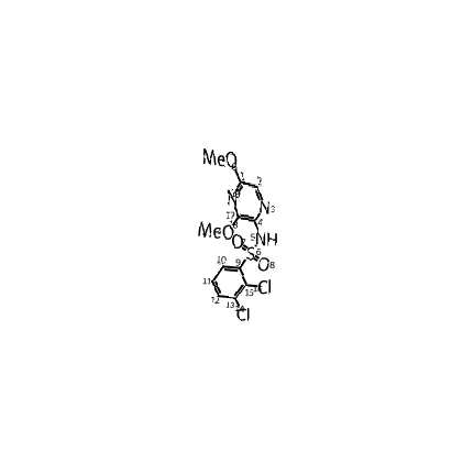 COc1cnc(NS(=O)(=O)c2cccc(Cl)c2Cl)c(OC)n1